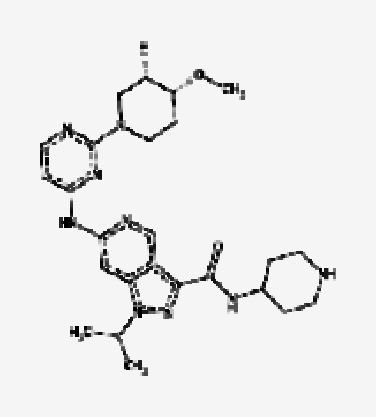 CO[C@@H]1CCN(c2nccc(Nc3cc4c(cn3)c(C(=O)NC3CCNCC3)nn4C(C)C)n2)C[C@@H]1F